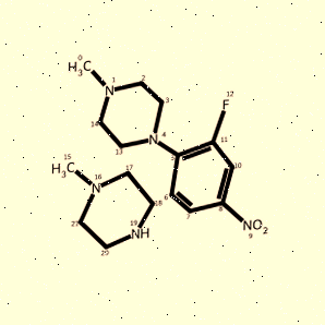 CN1CCN(c2ccc([N+](=O)[O-])cc2F)CC1.CN1CCNCC1